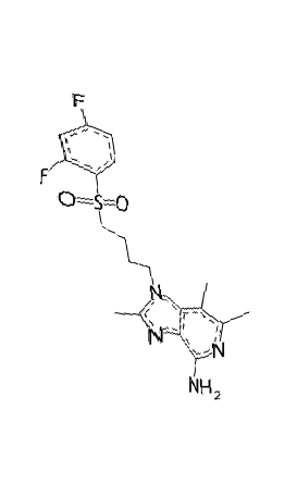 Cc1nc(N)c2nc(C)n(CCCCS(=O)(=O)c3ccc(F)cc3F)c2c1C